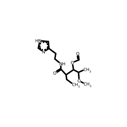 CCC(C(=O)NCCc1c[nH]cn1)C(OC=O)C(C)OC